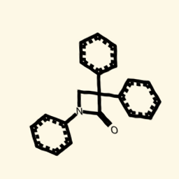 O=C1N(c2ccccc2)CC1(c1ccccc1)c1ccccc1